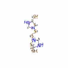 SC1NCN(SSN2CNC(S)S2)S1